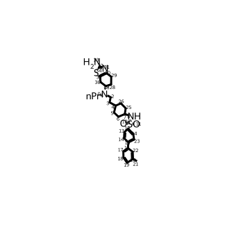 CCCN(CCC1CCC(NS(=O)(=O)c2ccc(-c3cccc(C)c3)cc2)CC1)[C@H]1CCc2nc(N)sc2C1